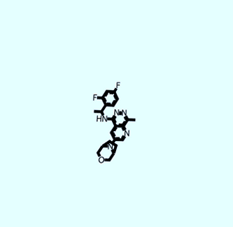 Cc1nnc(NC(C)c2ccc(F)cc2F)c2cc(N3C4CCC3COC4)cnc12